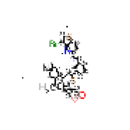 CC(C)c1ccccc1CCC(SCC1(CC(=O)[O-])CC1)c1cccc(/C=C/c2ccc3scc(Br)c3n2)c1.[Na+]